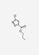 CCCOC(=O)c1cc(Cl)ns1